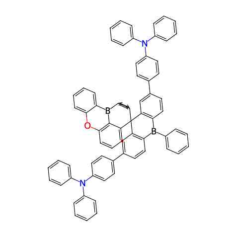 c1ccc(B2c3ccc(-c4ccc(N(c5ccccc5)c5ccccc5)cc4)cc3C3(c4cc(-c5ccc(N(c6ccccc6)c6ccccc6)cc5)ccc42)c2ccccc2B2c4ccccc4Oc4cccc3c42)cc1